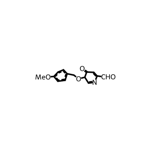 COc1ccc(COC2C=NC(C=O)=CC2=O)cc1